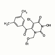 CCOCn1c(C(=O)c2cc(C)cc(C)c2)c(CC)c(=O)n(O)c1=O